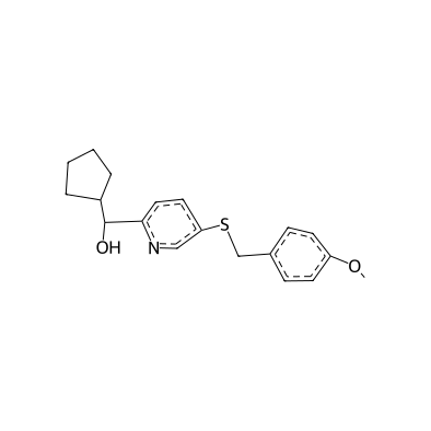 COc1ccc(CSc2ccc(C(O)C3CCCC3)nc2)cc1